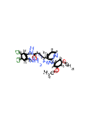 COc1cc(Nc2ncccc2/C=C/C(=O)Nc2cc(Cl)c(Cl)cc2N)cc(OC)c1